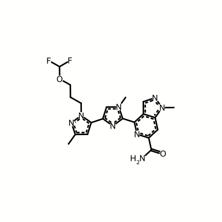 Cc1cc(-c2cn(C)c(-c3nc(C(N)=O)cc4c3cnn4C)n2)n(CCCOC(F)F)n1